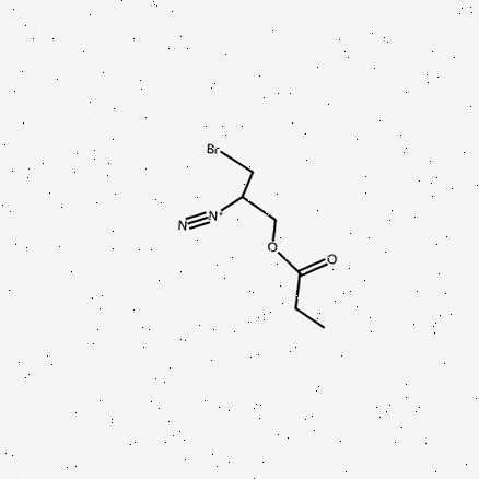 CCC(=O)OCC(CBr)[N+]#N